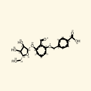 O=Cc1c(OCc2ccc(C(=O)O)cc2)cccc1O[C@@H]1O[C@H](CO)C(O)C1O